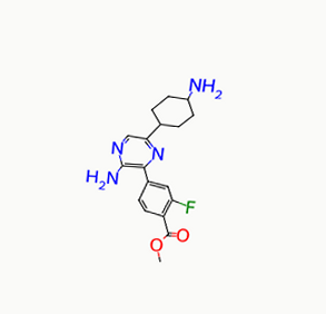 COC(=O)c1ccc(-c2nc(C3CCC(N)CC3)cnc2N)cc1F